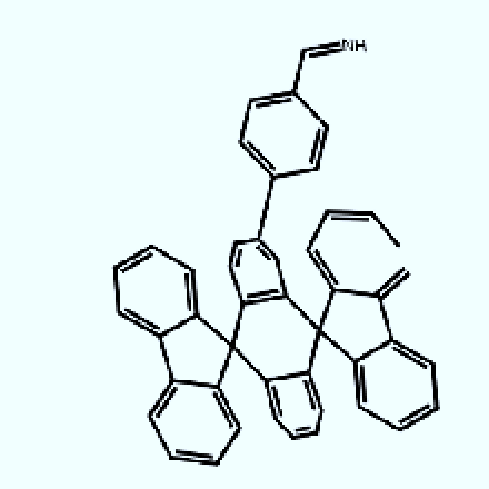 C=C1/C(=C\C=C/C)C2(c3ccccc31)c1ccccc1C1(c3ccccc3-c3ccccc31)c1ccc(-c3ccc(C=N)cc3)cc12